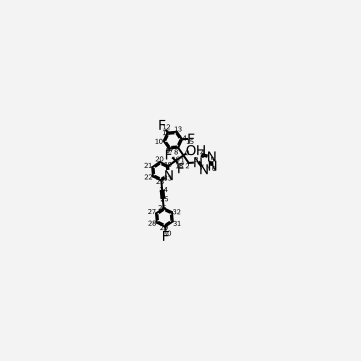 OC(Cn1cnnn1)(c1ccc(F)cc1F)C(F)(F)c1cccc(C#Cc2ccc(F)cc2)n1